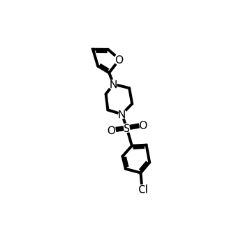 O=S(=O)(c1ccc(Cl)cc1)N1CCN(c2ccco2)CC1